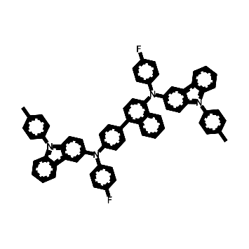 Cc1ccc(-n2c3ccccc3c3cc(N(c4ccc(F)cc4)c4ccc(-c5ccc(N(c6ccc(F)cc6)c6ccc7c(c6)c6ccccc6n7-c6ccc(C)cc6)c6ccccc56)cc4)ccc32)cc1